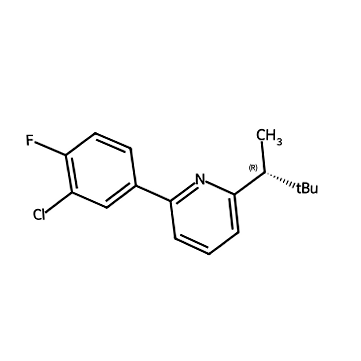 C[C@@H](c1cccc(-c2ccc(F)c(Cl)c2)n1)C(C)(C)C